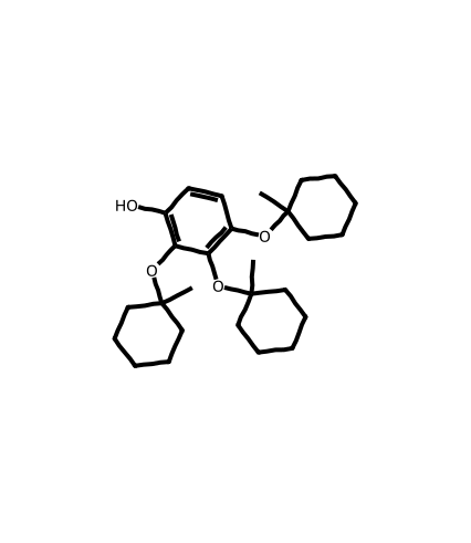 CC1(Oc2ccc(O)c(OC3(C)CCCCC3)c2OC2(C)CCCCC2)CCCCC1